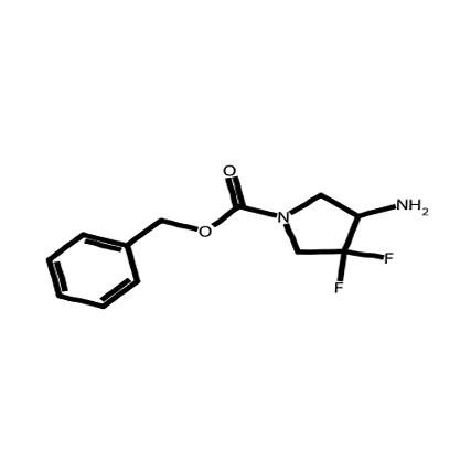 NC1CN(C(=O)OCc2ccccc2)CC1(F)F